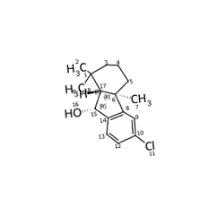 CC1(C)CCC[C@@]2(C)c3cc(Cl)ccc3[C@H](O)[C@H]12